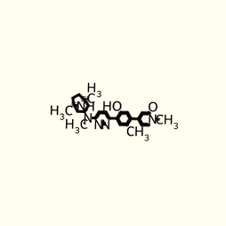 Cc1cc(-c2ccc(N(C)C3C[C@]4(C)CC[C@](C)(C3)N4)nn2)c(O)cc1-c1ccn(C)c(=O)c1